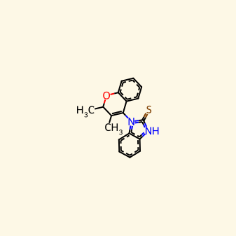 CC1=C(n2c(=S)[nH]c3ccccc32)c2ccccc2OC1C